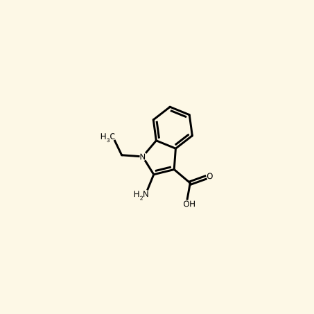 CCn1c(N)c(C(=O)O)c2ccccc21